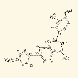 CCCCc1ccc(C(=O)OC(CC)c2ccc(-c3ccc(CCC)cc3)cc2)cc1C#N